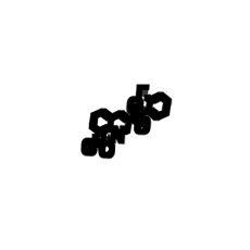 O=[N+]([O-])c1cccc2cc(S(=O)(=O)c3ccccc3F)cnc12